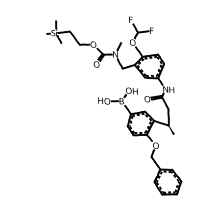 C[C@H](CC(=O)Nc1ccc(OC(F)F)c(CN(C)C(=O)OCC[Si](C)(C)C)c1)c1cc(B(O)O)ccc1OCc1ccccc1